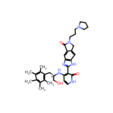 Cc1c(C)c(C)c(C[C@H](CO)Nc2cc[nH]c(=O)c2-c2nc3cc4c(cc3[nH]2)CN(CCCN2CCCC2)C4=O)c(C)c1C